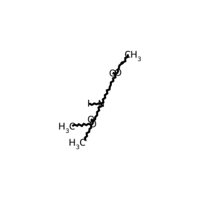 CCCCC#CCCCOC(=O)CCCCCCCCCCCCCN(CCCCI)CCCCCCCC(=O)OC(CCCCCCCC)CCCCCCCC